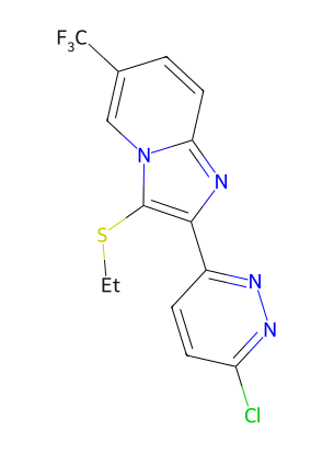 CCSc1c(-c2ccc(Cl)nn2)nc2ccc(C(F)(F)F)cn12